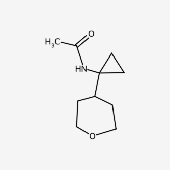 CC(=O)NC1(C2CCOCC2)CC1